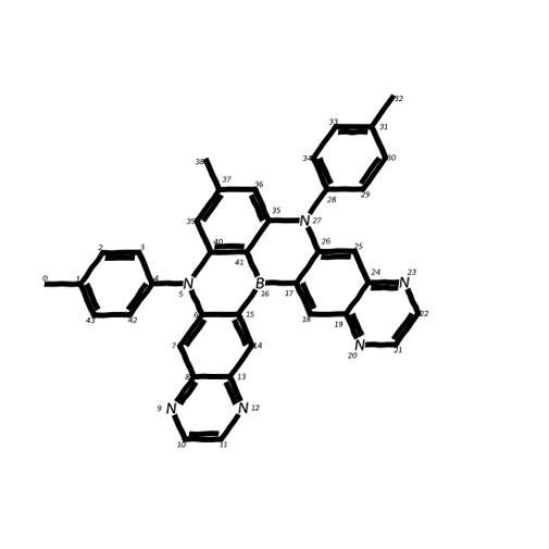 Cc1ccc(N2c3cc4nccnc4cc3B3c4cc5nccnc5cc4N(c4ccc(C)cc4)c4cc(C)cc2c43)cc1